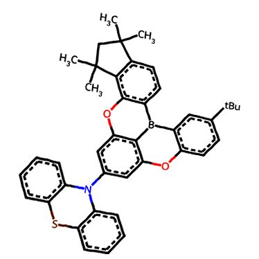 CC(C)(C)c1ccc2c(c1)B1c3ccc4c(c3Oc3cc(N5c6ccccc6Sc6ccccc65)cc(c31)O2)C(C)(C)CC4(C)C